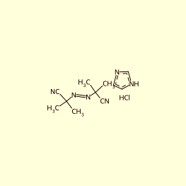 CC(C)(C#N)N=NC(C)(C)C#N.Cl.c1c[nH]cn1